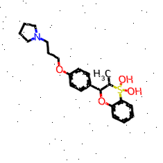 CC1C(c2ccc(OCCCN3CCCC3)cc2)Oc2ccccc2S1(O)O